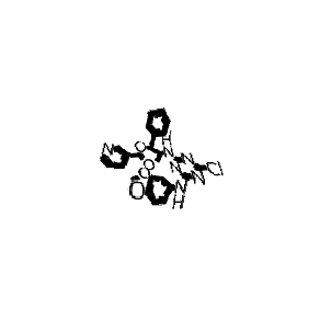 CC(Nc1nc(Cl)nc(Nc2ccc3c(c2)OCO3)n1)C(OC(=O)c1cccnc1)c1ccccc1